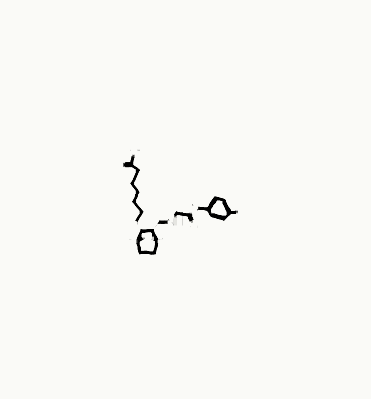 O=C(O)CCCCCC[C@@H]1[C@@H](CNCC(=O)Nc2ccc(O)cc2)[C@H]2CC[C@@H]1O2